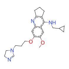 COc1cc2c(NCC3CC3)c3c(nc2cc1OCCCN1C=NCC1)CCC3